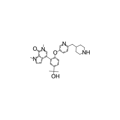 Cn1cc(-c2cc(C(C)(C)O)ccc2Oc2ccc(CC3CCNCC3)nc2)c2ccn(C)c2c1=O